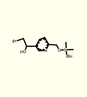 CC(C)CC(O)c1ccc(CO[Si](C)(C)C(C)(C)C)nc1